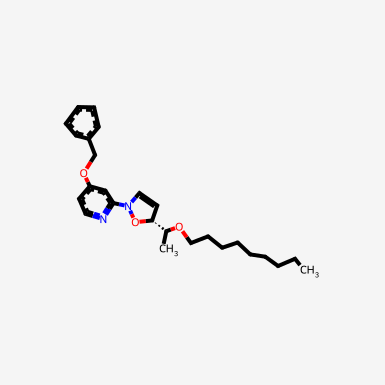 CCCCCCCCCOC(C)[C@H]1C=CN(c2cc(OCc3ccccc3)ccn2)O1